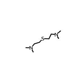 CN(C)CCSCCN(C)C